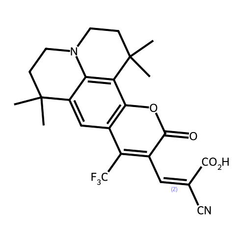 CC1(C)CCN2CCC(C)(C)c3c2c1cc1c(C(F)(F)F)c(/C=C(/C#N)C(=O)O)c(=O)oc31